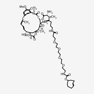 COc1cc2cc(c1Cl)N(C)C(=O)C[C@H](OC(=O)[C@H](N)N(C)C(=O)CCCNC(=O)CCOCCOCCOCCOCCNC(=O)OC1CC/C=C/CCC1)[C@]1(N)O[C@H]1[C@H](C)[C@@H]1C[C@@](O)(NC(=O)O1)[C@H](O)/C=C/C=C(\C)C2